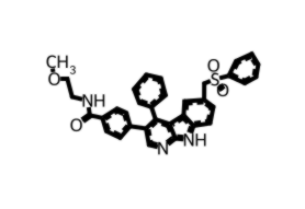 COCCNC(=O)c1ccc(-c2cnc3[nH]c4ccc(CS(=O)(=O)c5ccccc5)cc4c3c2-c2ccccc2)cc1